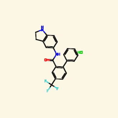 Cl.O=C(Nc1ccc2c(c1)CCN2)c1cc(C(F)(F)F)ccc1-c1ccccc1